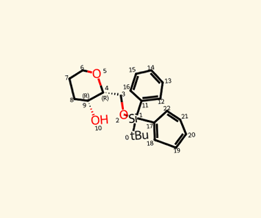 CC(C)(C)[Si](OC[C@H]1OCCC[C@H]1O)(c1ccccc1)c1ccccc1